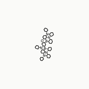 c1ccc(N2c3cc4c(cc3B3c5ccccc5N5c6ccccc6N(c6ccccc6)c6ccc2c3c65)B2c3ccccc3N3c5ccccc5N(c5ccccc5)c5ccc(c2c53)O4)cc1